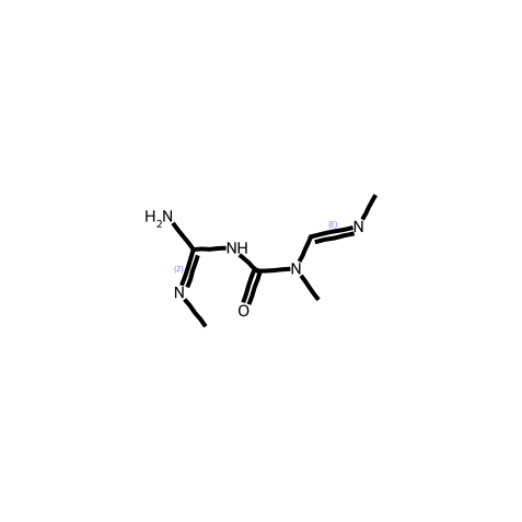 C/N=C(/N)NC(=O)N(C)/C=N/C